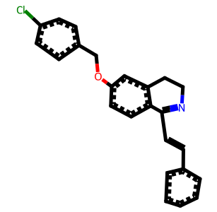 Clc1ccc(COc2ccc3c(c2)CCN=C3/C=C/c2ccccc2)cc1